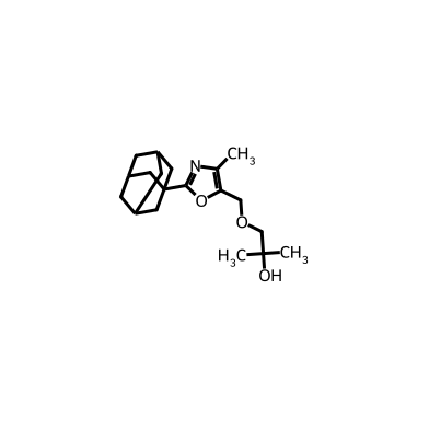 Cc1nc(C23CC4CC(CC(C4)C2)C3)oc1COCC(C)(C)O